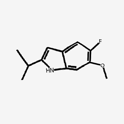 COc1cc2[nH]c(C(C)C)cc2cc1F